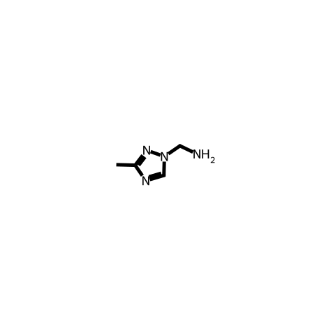 Cc1ncn(CN)n1